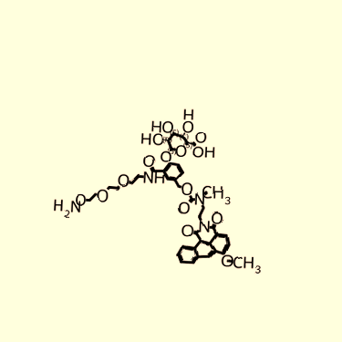 COc1ccc2c3c(c4ccccc4cc13)C(=O)N(CCN(C)C(=O)OCc1ccc(O[C@@H]3O[C@H](C(=O)O)[C@@H](O)[C@H](O)[C@H]3O)c(C(=O)NCCOCCOCCON)c1)C2=O